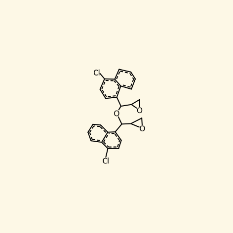 Clc1ccc(C(OC(c2ccc(Cl)c3ccccc23)C2CO2)C2CO2)c2ccccc12